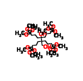 CO[Si](CCCC(O)(CCC[Si](OC)(OC)OC)C(CO)(CCC[Si](OC)(OC)OC)CCC[Si](OC)(OC)OC)(OC)OC